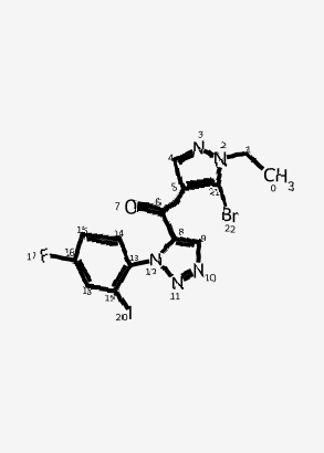 CCn1ncc(C(=O)c2cnnn2-c2ccc(F)cc2I)c1Br